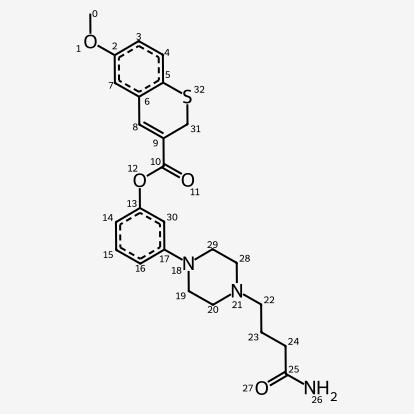 COc1ccc2c(c1)C=C(C(=O)Oc1cccc(N3CCN(CCCC(N)=O)CC3)c1)CS2